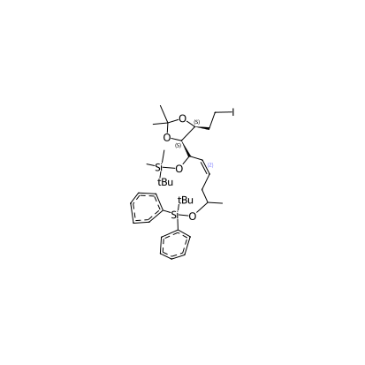 CC(C/C=C\C(O[Si](C)(C)C(C)(C)C)[C@H]1OC(C)(C)O[C@H]1CCI)O[Si](c1ccccc1)(c1ccccc1)C(C)(C)C